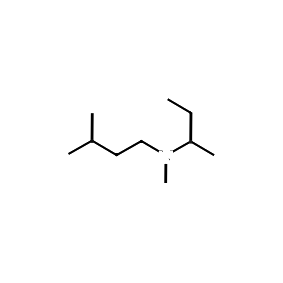 CCC(C)N(C)CCC(C)C